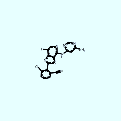 N#Cc1cccc(Cl)c1-c1nc2c(F)cnc(Nc3cc(N)ncn3)c2s1